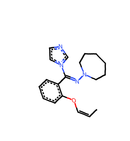 C/C=C\Oc1ccccc1C(=NN1CCCCCC1)n1ccnc1